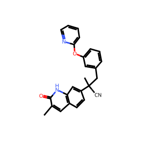 Cc1cc2ccc(C(C)(C#N)Cc3cccc(Oc4ccccn4)c3)cc2[nH]c1=O